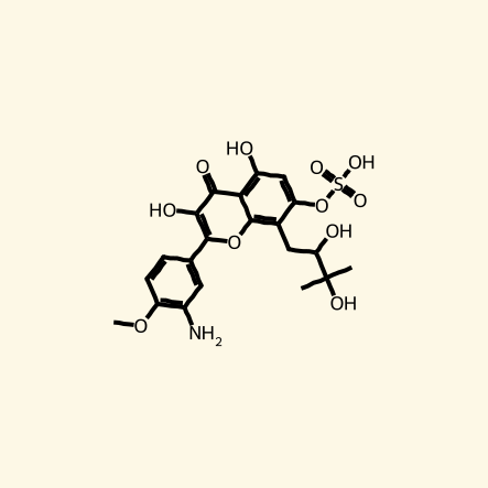 COc1ccc(-c2oc3c(CC(O)C(C)(C)O)c(OS(=O)(=O)O)cc(O)c3c(=O)c2O)cc1N